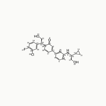 O=c1cc(-c2ccnc(N[C@H](CO)C3CC3)n2)ccn1[C@H](CO)c1ccc(F)c(Cl)c1